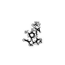 NS(=O)(=O)NC1(CCSc2nonc2C2=NOC(=C=O)N2c2ccc(F)c(Br)c2)CC1